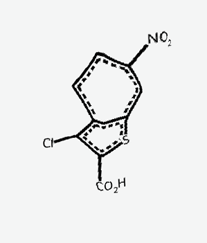 O=C(O)c1sc2cc([N+](=O)[O-])ccc2c1Cl